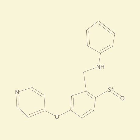 O=[S+]c1ccc(Oc2ccncc2)cc1CNc1ccccc1